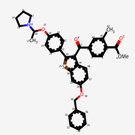 COC(=O)c1ccc(C(=O)c2c(-c3ccc(OC(C)N4CCCC4)cc3)sc3cc(OCc4ccccc4)ccc23)cc1C